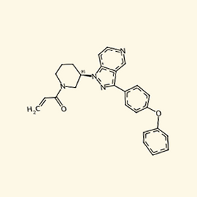 C=CC(=O)N1CCC[C@@H](n2nc(-c3ccc(Oc4ccccc4)cc3)c3cnccc32)C1